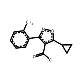 Cc1ccccc1-c1noc(C2CC2)c1C(=O)Cl